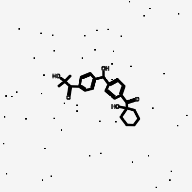 CC(C)(O)C(=O)c1ccc(C(O)c2ccc(C(=O)C3(O)CCCCC3)cc2)cc1